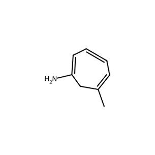 CC1=CC=CC=C(N)C1